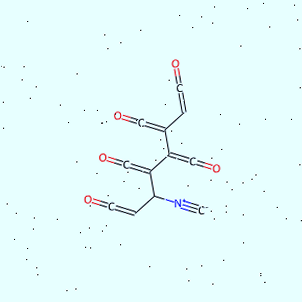 [C-]#[N+]C(C=C=O)C(=C=O)C(=C=O)C(=C=O)C=C=O